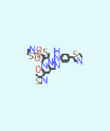 Cc1scnc1-c1cc2cnc(Nc3ccc(C4CN(C)CCS4)cc3)nc2n(Cc2ccsc2S(=O)(=O)c2nccs2)c1=O